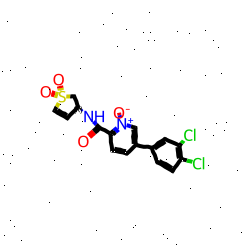 O=C(N[C@@H]1C=CS(=O)(=O)C1)c1ccc(-c2ccc(Cl)c(Cl)c2)c[n+]1[O-]